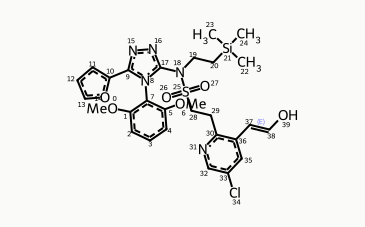 COc1cccc(OC)c1-n1c(-c2ccco2)nnc1N(CC[Si](C)(C)C)S(=O)(=O)CCc1ncc(Cl)cc1/C=C/O